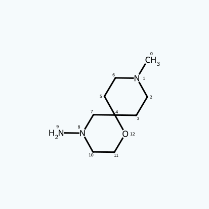 CN1CCC2(CC1)CN(N)CCO2